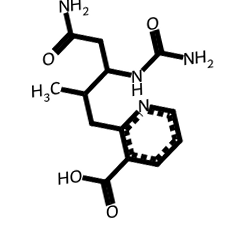 CC(Cc1ncccc1C(=O)O)C(CC(N)=O)NC(N)=O